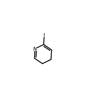 IC1=CCCC=N1